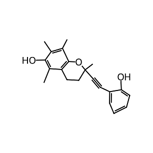 Cc1c(C)c2c(c(C)c1O)CCC(C)(C#Cc1ccccc1O)O2